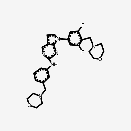 Fc1cc(-n2ccc3cnc(Nc4cccc(CN5CCOCC5)c4)nc32)cc(F)c1CN1CCOCC1